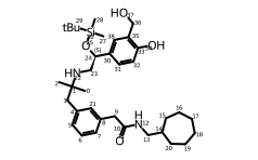 CC(C)(Cc1cccc(CC(=O)NCC2CCCCCC2)c1)NC[C@@H](O[Si](C)(C)C(C)(C)C)c1ccc(O)c(CO)c1